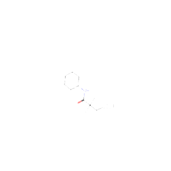 CC(C)(CC(=O)O)C(=O)N[C@H]1CC[C@H](C)CC1